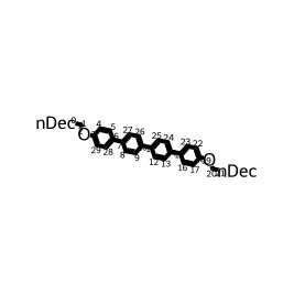 CCCCCCCCCCCOc1ccc(-c2ccc(-c3ccc(-c4ccc(OCCCCCCCCCCC)cc4)cc3)cc2)cc1